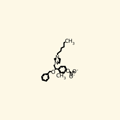 CCCCCCn1cc[n+](CC(OCc2ccccc2)c2ccccc2C)c1.O=[N+]([O-])[O-]